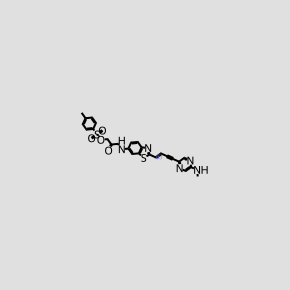 CNc1cnc(C#C/C=C/c2nc3ccc(NCC(=O)COS(=O)(=O)c4ccc(C)cc4)cc3s2)cn1